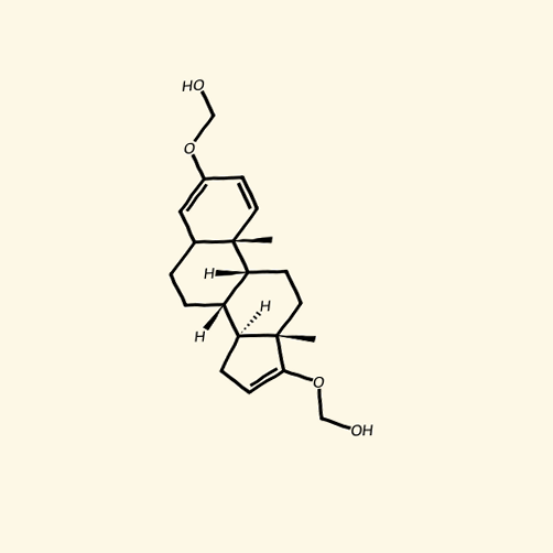 C[C@]12C=CC(OCO)=CC1CC[C@@H]1[C@H]2CC[C@]2(C)C(OCO)=CC[C@@H]12